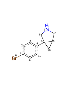 Brc1ccc(C23CNCC2C3)cc1